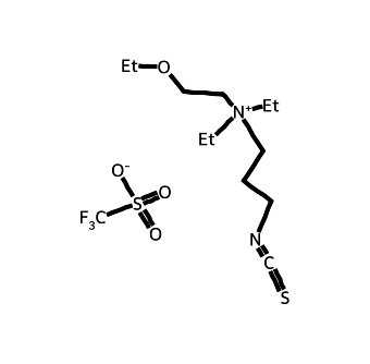 CCOCC[N+](CC)(CC)CCCN=C=S.O=S(=O)([O-])C(F)(F)F